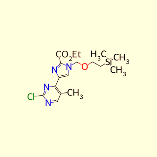 CCOC(=O)c1nc(-c2nc(Cl)ncc2C)cn1COCC[Si](C)(C)C